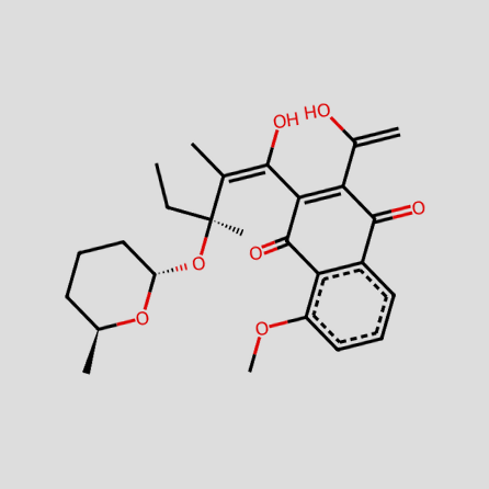 C=C(O)C1=C(/C(O)=C(/C)[C@](C)(CC)O[C@H]2CCC[C@H](C)O2)C(=O)c2c(OC)cccc2C1=O